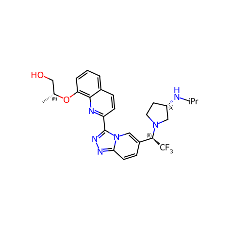 CC(C)N[C@H]1CCN([C@H](c2ccc3nnc(-c4ccc5cccc(O[C@H](C)CO)c5n4)n3c2)C(F)(F)F)C1